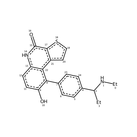 CCNC(CC)c1ccc(-c2c(O)ccc3[nH]c(=O)c4sccc4c23)cc1